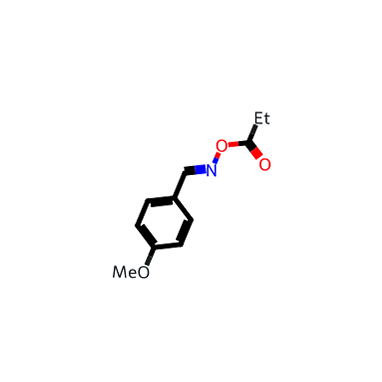 CCC(=O)O/N=C/c1ccc(OC)cc1